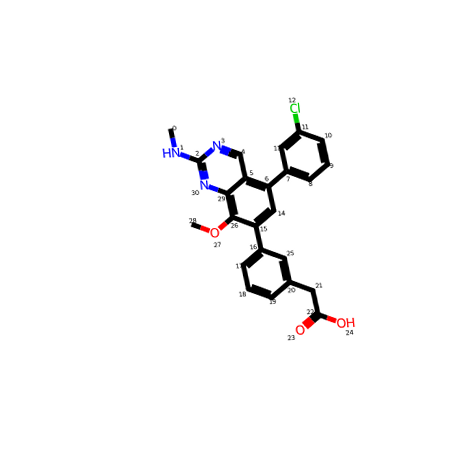 CNc1ncc2c(-c3cccc(Cl)c3)cc(-c3cccc(CC(=O)O)c3)c(OC)c2n1